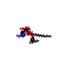 CCCCCCCCCCCCCCCCCCOC[C@H](COP(=O)(O)OC[C@@]1(C#N)O[C@@H](c2ccc3c(N)ncnn23)[C@H](O)[C@@H]1O)OCc1ccc(C#N)c(OC(C)C)c1